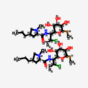 CCC[C@@H]1C[C@@H](C(=O)N[C@@H]([C@H]2O[C@H](SC)[C@H](O)[C@@H](O)[C@H]2O)[C@H](C)Cl)N(C)C1.CCC[C@@H]1C[C@@H](C(=O)N[C@@H]([C@H]2O[C@H](SC)[C@H](O)[C@@H](O)[C@H]2O)[C@H](C)Cl)N(C)C1